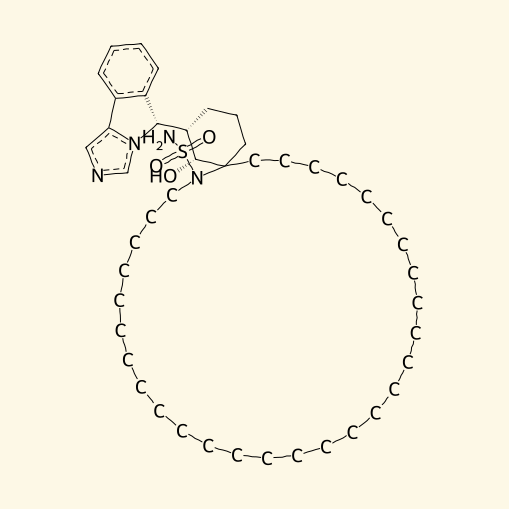 NS(=O)(=O)N1CCCCCCCCCCCCCCCCCCCCCCCCCCCCCC12CCC[C@@H]([C@H]1c3ccccc3-c3cncn31)[C@H]2O